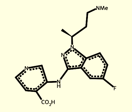 CNCC[C@H](C)n1nc(Nc2cnccc2C(=O)O)c2cc(F)ccc21